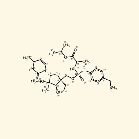 C=C1NC(N)C=CN1[C@@H]1O[C@](CF)(COP(=O)(NC(C)C(=O)OC(C)C)Oc2ccc(CN)cc2)[C@@H](O)[C@@]1(C)O